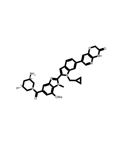 COc1cc(C(=O)N2C[C@H](N)C[C@@H](F)C2)cc2nc(-c3cc4ccc(-c5cnc6c(c5)OCC(=O)N6)cc4n3CC3CC3)n(C)c12